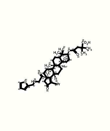 CC(C)C1=C2[C@H]3CC[C@@H]4[C@@]5(C)CC[C@H](OC(=O)CC(C)(C)C(=O)O)C(C)(C)C5CC[C@@]4(C)[C@]3(C)CC[C@@]2(C(=O)CNCc2ccco2)CC1=O